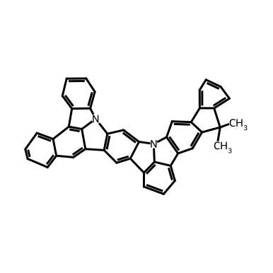 CC1(C)c2ccccc2-c2cc3c(cc21)c1cccc2c4cc5c6cc7ccccc7c7c8ccccc8n(c5cc4n3c12)c67